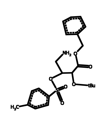 Cc1ccc(S(=O)(=O)OC(CN)C(OC(C)(C)C)C(=O)OCc2ccccc2)cc1